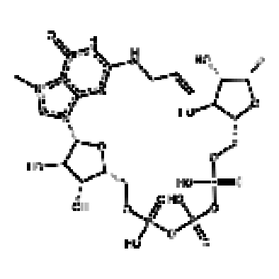 C=CCNc1nc2c(c(=O)[nH]1)[n+](C)cn2[C@@H]1O[C@H](COP(=O)(O)OP(=O)(O)OP(=O)(O)OC[C@H]2O[C@@H](C)[C@@H](O)C2O)[C@H](O)C1O